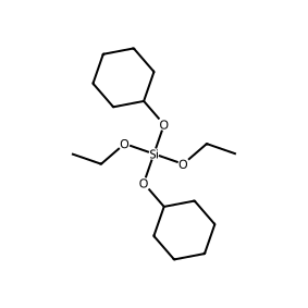 CCO[Si](OCC)(OC1CCCCC1)OC1CCCCC1